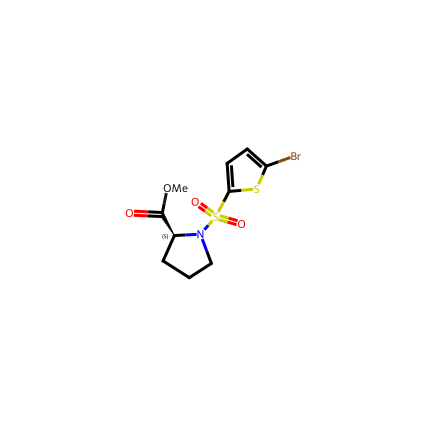 COC(=O)[C@@H]1CCCN1S(=O)(=O)c1ccc(Br)s1